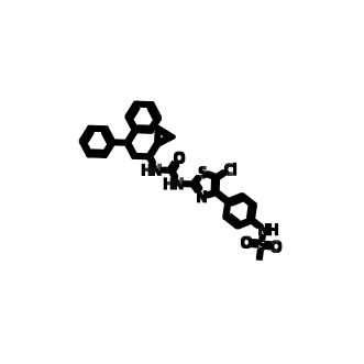 CS(=O)(=O)Nc1ccc(-c2nc(NC(=O)NC(CC(c3ccccc3)c3ccccc3)C3CC3)sc2Cl)cc1